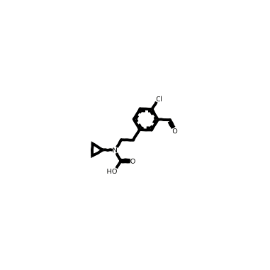 O=Cc1cc(CCN(C(=O)O)C2CC2)ccc1Cl